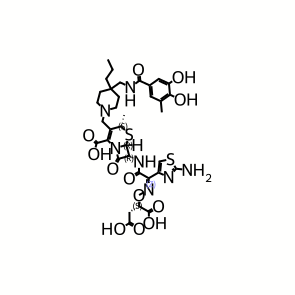 CCCC1(CNC(=O)c2cc(C)c(O)c(O)c2)CCN(CC2=C(C(=O)O)N3C(=O)[C@@H](NC(=O)/C(=N\O[C@@H](CC(=O)O)C(=O)O)c4csc(N)n4)[C@H]3S[C@H]2C)CC1